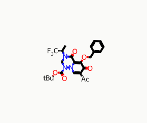 CC(=O)c1cn2c(c(OCc3ccccc3)c1=O)C(=O)N([C@H](C)C(F)(F)F)CN2C(=O)OC(C)(C)C